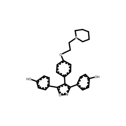 Oc1ccc(-c2noc(-c3ccc(O)cc3)c2-c2ccc(OCCN3CCCCC3)cc2)cc1